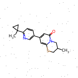 CC1CSc2cc(-c3ccc(C4(C)CC4)nc3)cc(=O)n2C1